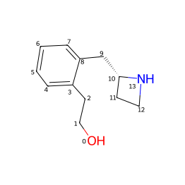 OCCc1ccccc1C[C@H]1CCN1